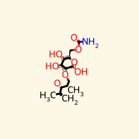 C=C(C)C(=O)C(C)CO[C@@H]1[C@@H](O)[C@H](O)[C@@H](COC(N)=O)O[C@@H]1O